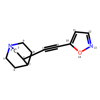 C(#CC1CN2CCC1CC2)c1ccno1